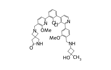 COc1cc(-c2nccc(-c3cccc(-c4ccc(CN5CC6(CNC(=O)C6)C5)c(OC)n4)c3Cl)c2Cl)ccc1CNC1CC(C)(O)C1